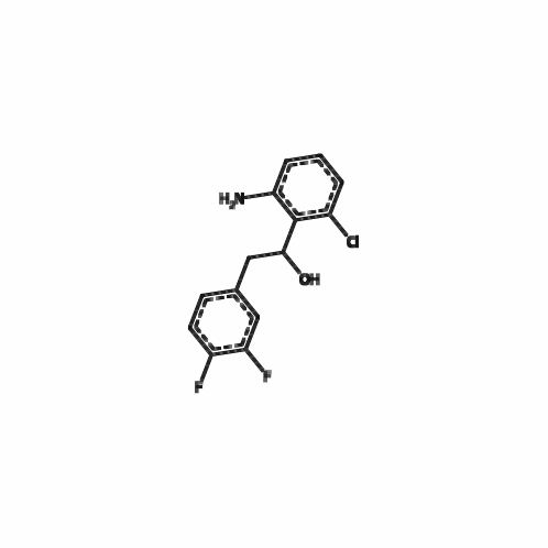 Nc1cccc(Cl)c1C(O)Cc1ccc(F)c(F)c1